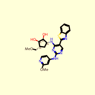 COC[C@H]1C[C@@H](Nc2nc(Nc3ccnc(OC)c3)ncc2-c2nc3ccccc3s2)[C@H](O)[C@@H]1O